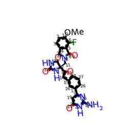 COc1ccc2c(c1F)C(=O)N(C[C@@]1(c3cc4cc(-c5cc(=O)[nH]c(N)n5)ccc4o3)NC(=O)NC1=O)C2